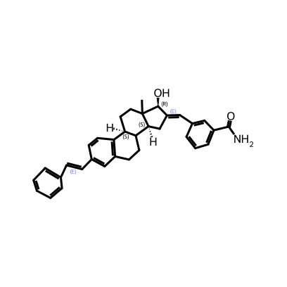 CC12CC[C@@H]3c4ccc(/C=C/c5ccccc5)cc4CCC3[C@@H]1C/C(=C\c1cccc(C(N)=O)c1)[C@@H]2O